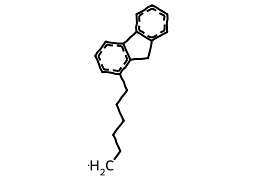 [CH2]CCCCCc1cccc2c1Cc1ccccc1-2